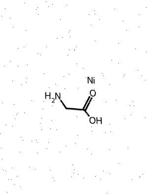 NCC(=O)O.[Ni]